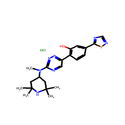 CN(c1ncc(-c2ccc(-c3ncns3)cc2O)nn1)C1CC(C)(C)NC(C)(C)C1.Cl